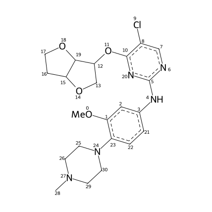 COc1cc(Nc2ncc(Cl)c(OC3COC4CCOC43)n2)ccc1N1CCN(C)CC1